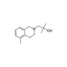 Cc1cccc2c1CCN(CC(C)(C)O)C2